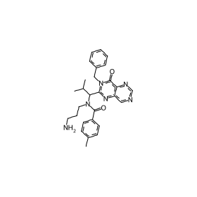 Cc1ccc(C(=O)N(CCCN)C(c2nc3cncnc3c(=O)n2Cc2ccccc2)C(C)C)cc1